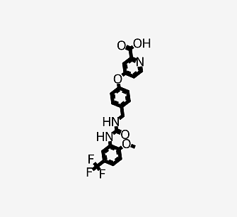 COc1ccc(C(F)(F)F)cc1NC(=O)NCc1ccc(Oc2ccnc(C(=O)O)c2)cc1